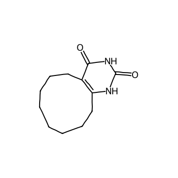 O=c1[nH]c2c(c(=O)[nH]1)CCCCCCCC2